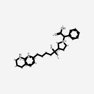 O=C(O)C(c1ccccc1)N1CCC(C(F)(F)CCCCc2ccc3c(n2)NCCC3)C1